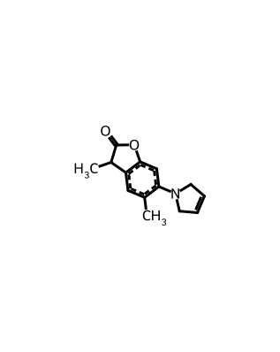 Cc1cc2c(cc1N1CC=CC1)OC(=O)C2C